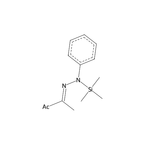 CC(=O)/C(C)=N/N(c1ccccc1)[Si](C)(C)C